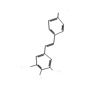 COc1cc(C=Cc2ccc(C(=O)O)cc2)cc(OC)c1O